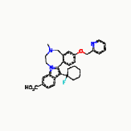 CN1CCn2c(c(C3(F)CCCCC3)c3ccc(C(=O)O)cc32)-c2ccc(OCc3ccccn3)cc2C1